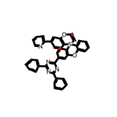 c1ccc(-c2nc(-c3ccccc3)nc(-c3ccc4c(c3)Oc3ccccc3[Si]43c4ccccc4Oc4cc(-c5ccccn5)ccc43)n2)cc1